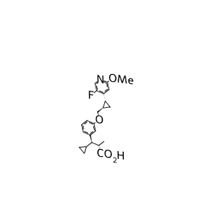 COc1cc([C@@H]2C[C@H]2COc2cccc([C@H](C3CC3)[C@H](C)C(=O)O)c2)c(F)cn1